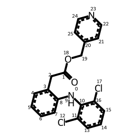 O=C(Cc1ccccc1Nc1c(Cl)cccc1Cl)OCc1ccncc1